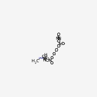 C=C/C=C\C=C(/C)N1N=C2C=CC(N(c3ccccc3)c3ccc(-c4ccc(-c5ccc(-c6ccc(N(c7ccccc7)c7ccc8nn(-c9ccccc9)nc8c7)cc6)cc5)cc4)cc3)=CC2N1